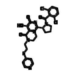 O=C1c2c(O)c(=O)nc(C3CCCN3C(=O)c3c(Cl)cccc3Cl)n2CCN1CCSc1ccncc1